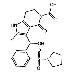 Cc1[nH]c2c(c1C(O)c1ccccc1S(=O)(=O)N1CCCC1)C(=O)N(C(=O)O)CC2